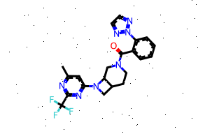 Cc1cc(N2CC3CCN(C(=O)c4ccccc4-n4nccn4)CC32)nc(C(F)(F)F)n1